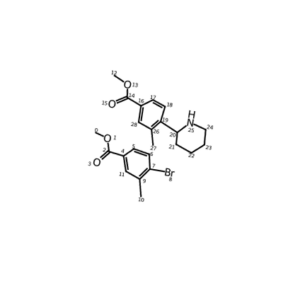 COC(=O)c1ccc(Br)c(C)c1.COC(=O)c1ccc(C2CCCCN2)c(C)c1